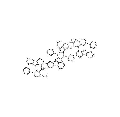 Cc1ccc(-c2ccccc2)cc1Nc1c(-c2ccc3c4cccc5c6c(-c7ccccc7)c7c(c(-c8ccccc8)c6n(c3c2)c45)c2cccc3c4ccc(N(c5cc(-c6ccccc6)ccc5C)c5cccc6c5oc5ccccc56)cc4n7c32)ccc2c1oc1ccccc12